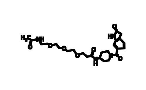 CC(=O)NCCOCCOCCOCCC(=O)NC1CCN(C(=O)c2ccc3c(c2)NC(=O)C3)CC1